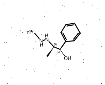 CCCNN[C@H](C)[C@@H](O)c1ccccc1